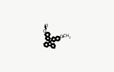 C=COc1ccc2cc(C3(c4ccc5cc(OCCCl)ccc5c4)c4ccccc4-c4ccccc43)ccc2c1